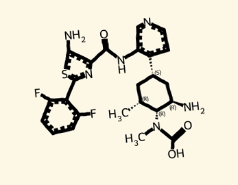 C[C@@H]1C[C@H](c2ccncc2NC(=O)c2nc(-c3c(F)cccc3F)sc2N)C[C@@H](N)[C@@H]1N(C)C(=O)O